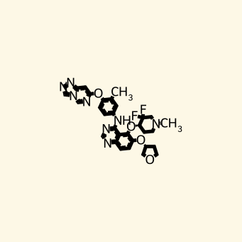 Cc1cc(Nc2ncnc3ccc(O[C@H]4CCOC4)c(O[C@@H]4CCN(C)CC4(F)F)c23)ccc1Oc1cc2nncn2cn1